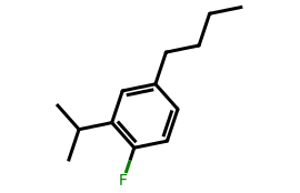 CCCCc1ccc(F)c(C(C)C)c1